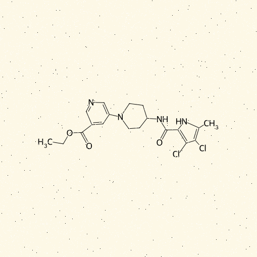 CCOC(=O)c1cncc(N2CCC(NC(=O)c3[nH]c(C)c(Cl)c3Cl)CC2)c1